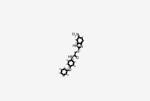 O=C(CSc1nc2ccc([N+](=O)[O-])cc2[nH]1)Nc1ccc(Oc2ccccc2)cc1